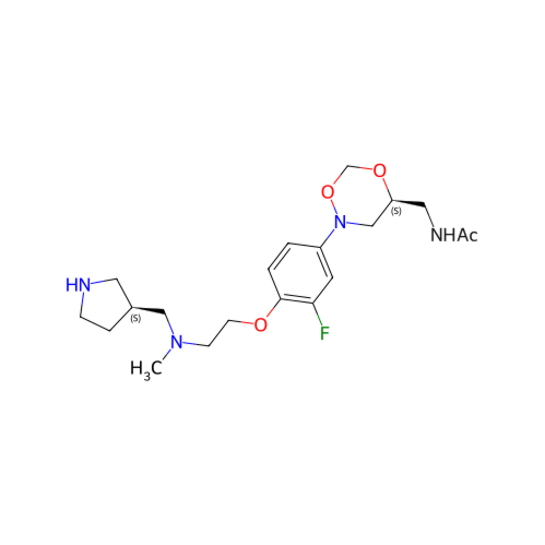 CC(=O)NC[C@H]1CN(c2ccc(OCCN(C)C[C@H]3CCNC3)c(F)c2)OCO1